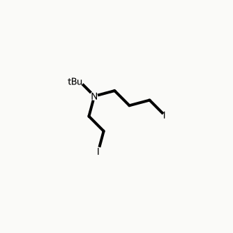 CC(C)(C)N(CCI)CCCI